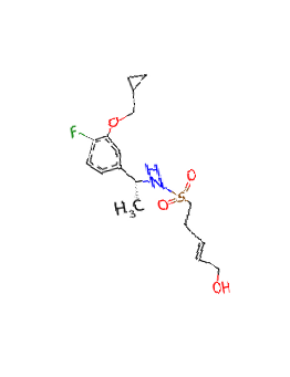 C[C@@H](NS(=O)(=O)CC/C=C/CO)c1ccc(F)c(OCC2CC2)c1